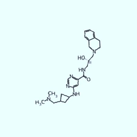 CN(C)CC1CC(Nc2cc(C(=O)NC[C@H](O)CN3CCc4ccccc4C3)ncn2)C1